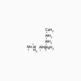 [AlH3].[AlH3].[AlH3].[AlH3].[CaH2].[MgH2].[Mn]